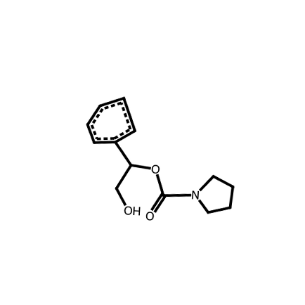 O=C(OC(CO)c1ccccc1)N1CCCC1